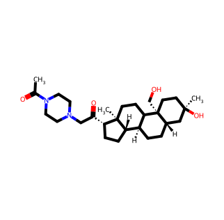 CC(=O)N1CCN(CC(=O)[C@H]2CC[C@H]3[C@@H]4CC[C@H]5C[C@](C)(O)CC[C@]5(CO)C4CC[C@]23C)CC1